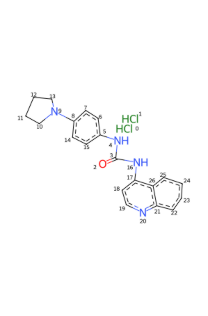 Cl.Cl.O=C(Nc1ccc(N2CCCC2)cc1)Nc1ccnc2ccccc12